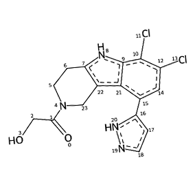 O=C(CO)N1CCc2[nH]c3c(Cl)c(Cl)cc(-c4ccn[nH]4)c3c2C1